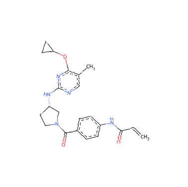 C=CC(=O)Nc1ccc(C(=O)N2CC[C@H](Nc3ncc(C)c(OC4CC4)n3)C2)cc1